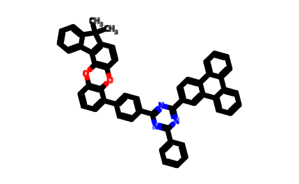 CC1(C)c2ccccc2-c2c1ccc1c2Oc2cccc(-c3ccc(-c4nc(-c5ccccc5)nc(-c5ccc6c7ccccc7c7ccccc7c6c5)n4)cc3)c2O1